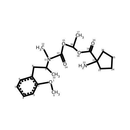 COc1ccccc1CC(C)N(C)C(=O)OC(C)OC(=O)C1(N)CCCC1